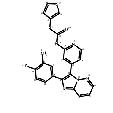 Cc1cc(-c2nc3cccnn3c2-c2ccnc(NC(=O)Nc3ccsc3)c2)ccc1F